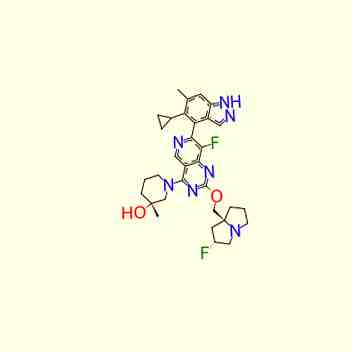 Cc1cc2[nH]ncc2c(-c2ncc3c(N4CCC[C@@](C)(O)C4)nc(OC[C@@]45CCCN4C[C@H](F)C5)nc3c2F)c1C1CC1